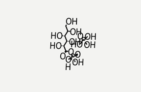 O=C(OP(=O)(O)O)[C@H](O)[C@@H](O)[C@H](O)[C@H](O)CO.O=P(O)(O)O